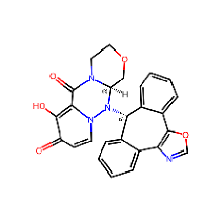 O=C1c2c(O)c(=O)ccn2N([C@H]2c3ccccc3-c3ncoc3-c3ccccc32)[C@@H]2COCCN12